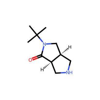 CC(C)(C)N1C[C@H]2CNC[C@H]2C1=O